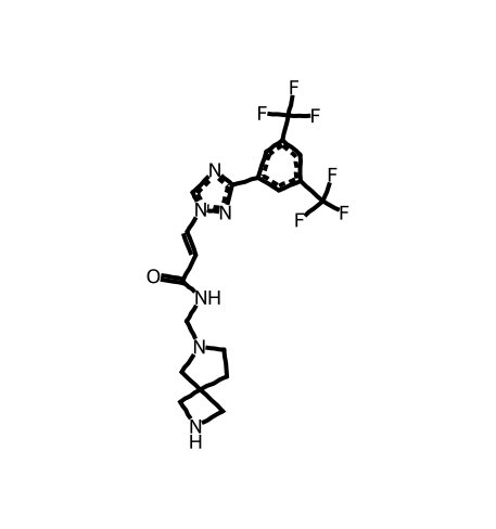 O=C(C=Cn1cnc(-c2cc(C(F)(F)F)cc(C(F)(F)F)c2)n1)NCN1CCC2(CNC2)C1